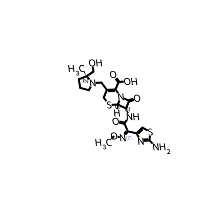 CO/N=C(\C(=O)N[C@@H]1C(=O)N2C(C(=O)O)=C(CN3CCC[C@@]3(C)CO)CS[C@@H]12)c1csc(N)n1